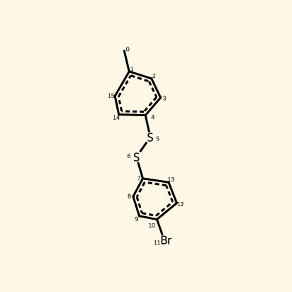 Cc1ccc(SSc2ccc(Br)cc2)cc1